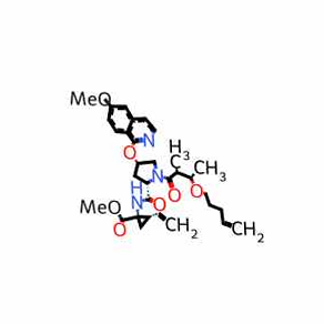 C=CCCCO[C@H](C)[C@H](C)C(=O)N1C[C@H](Oc2nccc3cc(OC)ccc23)C[C@H]1C(=O)N[C@]1(C(=O)OC)C[C@H]1C=C